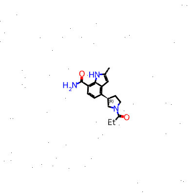 CCC(=O)N1CC[C@H](c2ccc(C(N)=O)c3[nH]c(C)cc23)C1